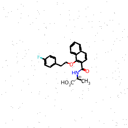 C[C@@H](NC(=O)c1ccc2ccccc2c1OCCc1ccc(F)cc1)C(=O)O